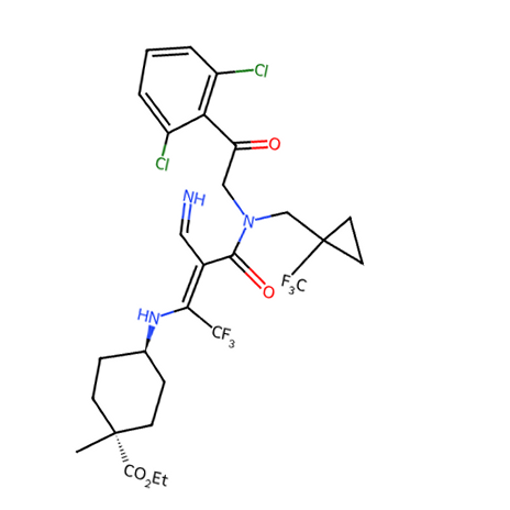 CCOC(=O)[C@]1(C)CC[C@@H](N/C(=C(\C=N)C(=O)N(CC(=O)c2c(Cl)cccc2Cl)CC2(C(F)(F)F)CC2)C(F)(F)F)CC1